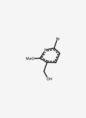 COc1nc(Br)ccc1CO